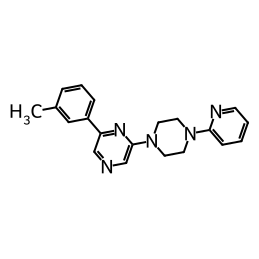 Cc1cccc(-c2cncc(N3CCN(c4ccccn4)CC3)n2)c1